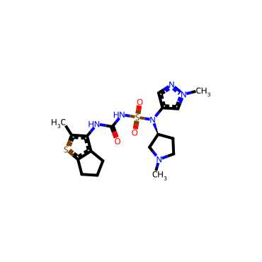 Cc1sc2c(c1NC(=O)NS(=O)(=O)N(c1cnn(C)c1)[C@H]1CCN(C)C1)CCC2